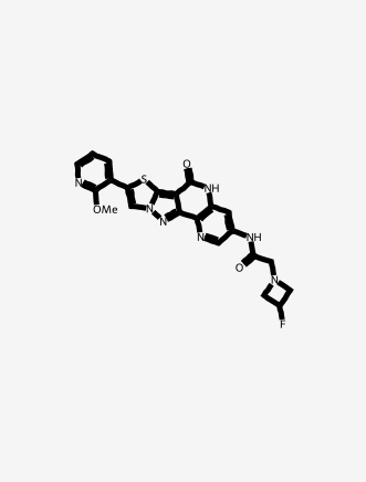 COc1ncccc1-c1cn2nc3c4ncc(NC(=O)CN5CC(F)C5)cc4[nH]c(=O)c3c2s1